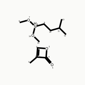 CC1=COC1=O.CO[SiH](CCC(C)C)OC